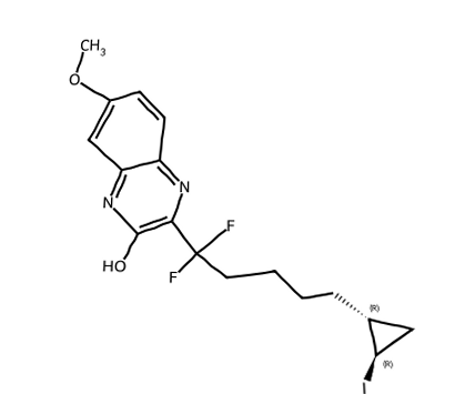 COc1ccc2nc(C(F)(F)CCCC[C@@H]3C[C@H]3I)c(O)nc2c1